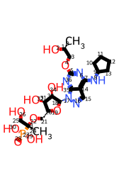 C[C@@H](O)COc1nc(NC2CCCC2)c2cnn([C@@H]3O[C@H](CO[C@@](C)(CO)P(=O)(O)O)[C@@H](O)[C@H]3O)c2n1